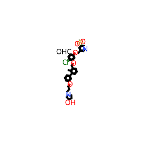 Cc1c(COc2cc(OCc3cncc(S(C)(=O)=O)c3)c(C=O)cc2Cl)cccc1-c1cccc(OCCCN2CC[C@@H](O)C2)c1